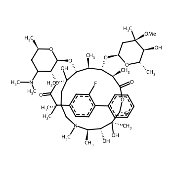 CC[C@H]1OC(=O)[C@H](C)[C@@H](O[C@H]2C[C@@](C)(OC)[C@@H](O)[C@H](C)O2)[C@H](C)[C@@H](O[C@@H]2O[C@H](C)CC(N(C)C)[C@H]2OC(=O)C(C)c2ccc(-c3ccccc3)c(F)c2)[C@](C)(O)C[C@@H](C)CN(C)[C@H](C)[C@@H](O)[C@]1(C)O